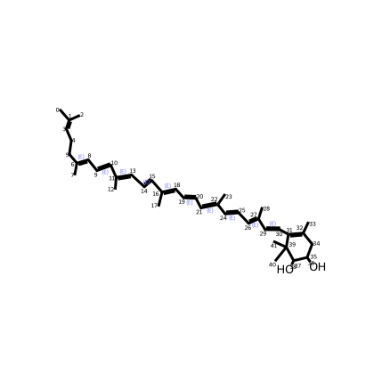 CC(C)=CCC/C(C)=C/C=C/C(C)=C/C=C/C(C)=C/C=C/C=C(C)/C=C/C=C(C)/C=C/C1=C(C)CC(O)C(O)C1(C)C